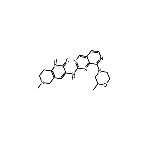 CC1CN(c2nccc3cnc(Nc4cc5c([nH]c4=O)CCN(C)C5)nc23)CCO1